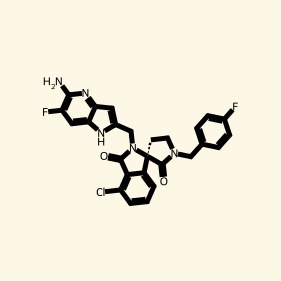 Nc1nc2cc(CN3C(=O)c4c(Cl)cccc4[C@@]34CCN(Cc3ccc(F)cc3)C4=O)[nH]c2cc1F